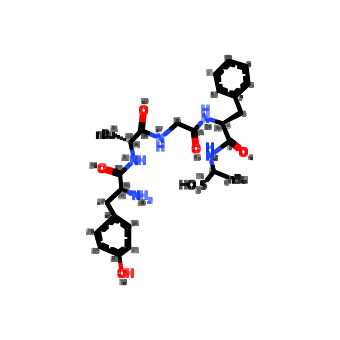 CCCCC(NC(=O)[C@H](Cc1ccccc1)NC(=O)CNC(=O)[C@@H](CCCC)NC(=O)[C@@H](N)Cc1ccc(O)cc1)S(=O)(=O)O